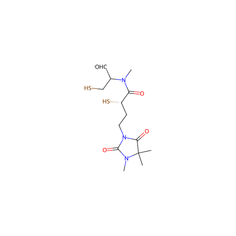 CN(C(=O)[C@@H](S)CCN1C(=O)N(C)C(C)(C)C1=O)C([C]=O)CS